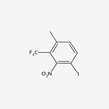 Cc1ccc(I)c([N+](=O)[O-])c1C(F)(F)F